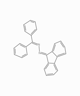 c1ccc(C(=NN=C2c3ccccc3-c3ccccc32)c2ccccc2)cc1